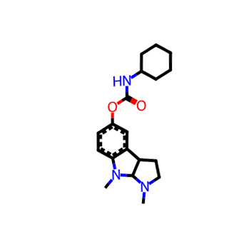 CN1CCC2c3cc(OC(=O)NC4CCCCC4)ccc3N(C)C21